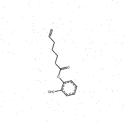 C=CCCCCC(=O)Oc1ccccc1C=O